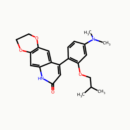 CC(C)COc1cc(N(C)C)ccc1-c1cc(=O)[nH]c2cc3c(cc12)OCCO3